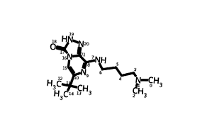 CN(C)CCCCNc1nc(C(C)(C)C)cn2c(=O)[nH]nc12